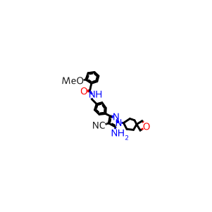 COc1ccccc1C(=O)NCc1ccc(-c2nn(C3CCC4(CC3)COC4)c(N)c2C#N)cc1